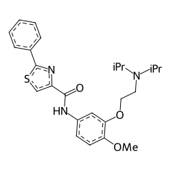 COc1ccc(NC(=O)c2csc(-c3ccccc3)n2)cc1OCCN(C(C)C)C(C)C